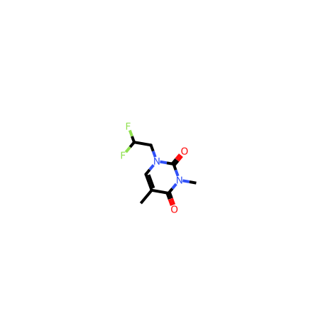 Cc1cn(CC(F)F)c(=O)n(C)c1=O